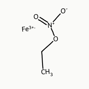 CCO[N+](=O)[O-].[Fe+3]